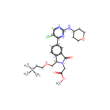 COC(=O)CN1C(=O)c2cc(-c3nc(NC4CCOCC4)ncc3Cl)ccc2C1COCC[Si](C)(C)C